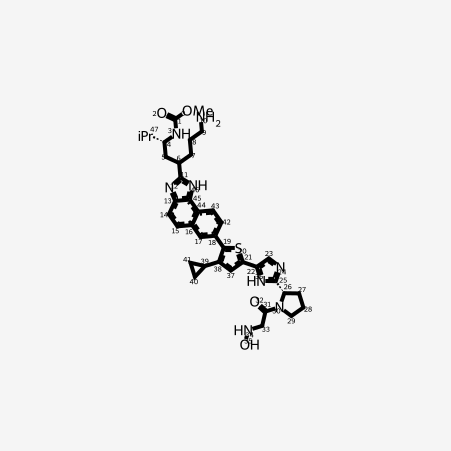 COC(=O)N[C@H](CC(CCCN)c1nc2ccc3cc(-c4sc(-c5cnc([C@@H]6CCCN6C(=O)CNO)[nH]5)cc4C4CC4)ccc3c2[nH]1)C(C)C